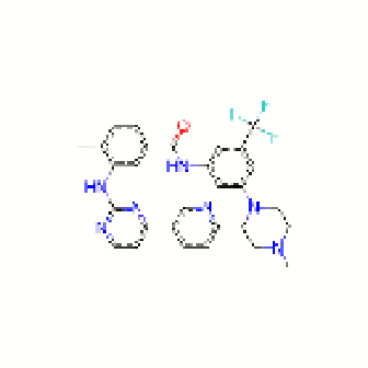 Cc1ccc(C(=O)Nc2cc(N3CCN(C)CC3)cc(C(F)(F)F)c2)cc1Nc1nccc(-c2cccnc2)n1